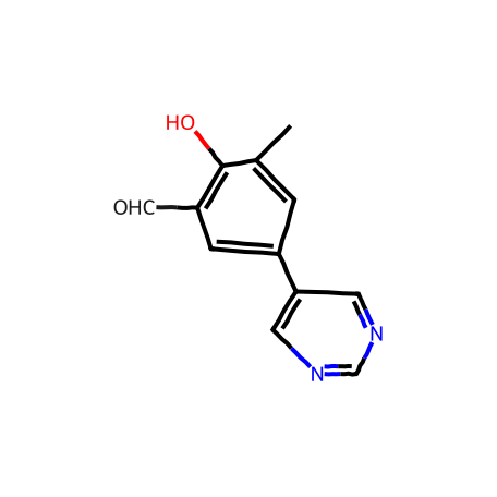 Cc1cc(-c2cncnc2)cc(C=O)c1O